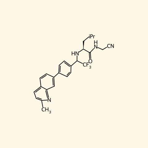 Cc1ccc2ccc(-c3ccc(C(N[C@@H](CC(C)C)C(=O)NCC#N)C(F)(F)F)cc3)cc2n1